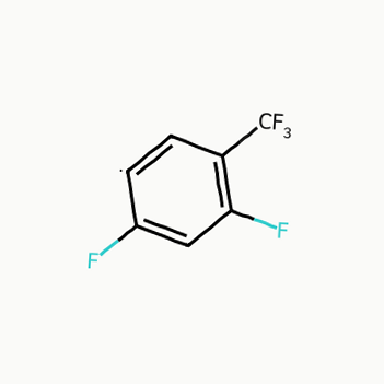 Fc1[c]cc(C(F)(F)F)c(F)c1